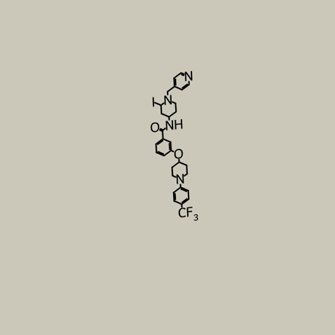 O=C(NC1CCN(Cc2ccncc2)C(I)C1)c1cccc(OC2CCN(c3ccc(C(F)(F)F)cc3)CC2)c1